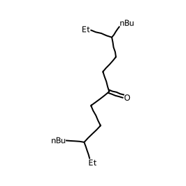 CCCCC(CC)CCC(=O)CCC(CC)CCCC